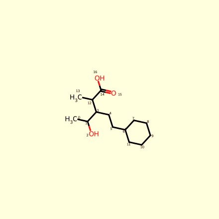 CC(O)C(CC[C]1CCCCC1)C(C)C(=O)O